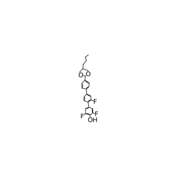 CCCCC1COC(c2ccc(-c3ccc(-c4cc(F)c(O)c(F)c4)c(F)c3)cc2)OC1